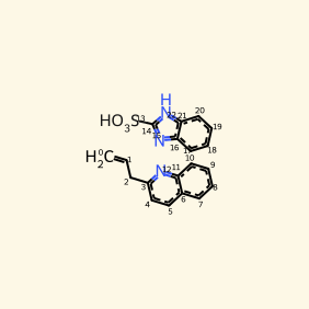 C=CCc1ccc2ccccc2n1.O=S(=O)(O)c1nc2ccccc2[nH]1